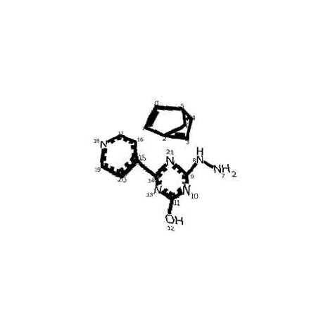 C1=CC2=CC=C1C2.NNc1nc(O)nc(-c2ccncc2)n1